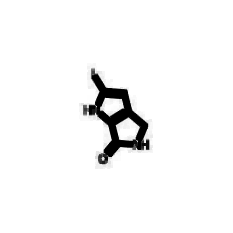 O=C1NCc2cc(I)[nH]c21